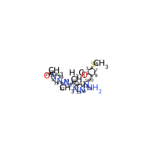 COc1cc(SC)ccc1CCN(N)c1cc(/C(C)=C/N=C(\C)N2CCN(C(C)=O)CC2)ncn1